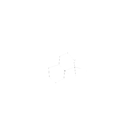 CC1(C)NCCC2CCCCC21C